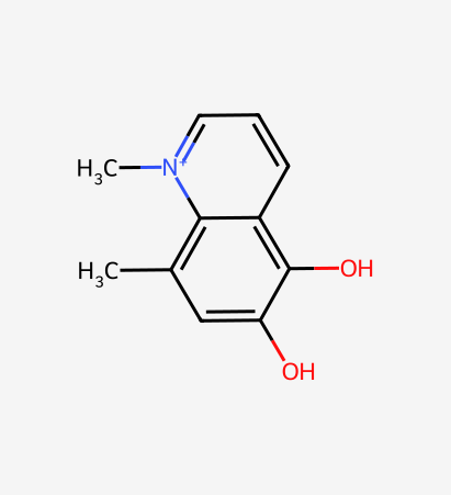 Cc1cc(O)c(O)c2ccc[n+](C)c12